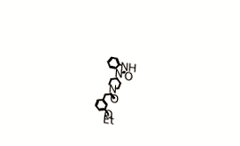 CCOc1cccc(CC(=O)N2CCC(n3c(=O)[nH]c4ccccc43)CC2)c1